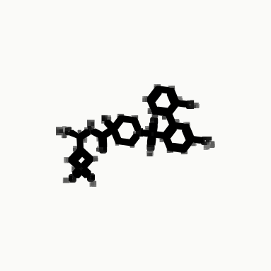 C[C@@H](NC(=O)C1(F)CCN(S(=O)(=O)c2ccc(C(F)(F)F)cc2-c2ccccc2Cl)CC1)C1=CS(=O)(=O)C1